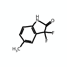 Cc1ccc2c(c1)C(F)(F)C(=O)N2